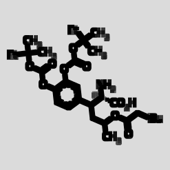 CCC(C)CC(=O)OC(C)CC(c1ccc(OC(=O)OC(C)(C)CC)c(OC(=O)OC(C)(C)CC)c1)[C@H](N)C(=O)O